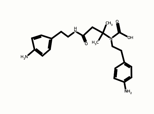 CC(C)(CC(=O)NCCc1ccc(N)cc1)N(CCc1ccc(N)cc1)C(=O)O